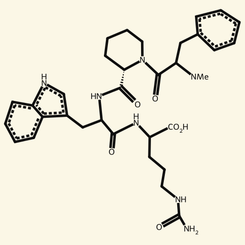 CNC(Cc1ccccc1)C(=O)N1CCCC[C@H]1C(=O)NC(Cc1c[nH]c2ccccc12)C(=O)NC(CCCNC(N)=O)C(=O)O